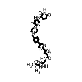 CC(C)(c1n[nH]c(CNC(=O)c2cc(-c3ncc(-c4ccc(CN5CCN(c6ncc(NC7CCC(=O)NC7=O)cc6F)CC5)cc4)cn3)no2)n1)C(F)(F)F